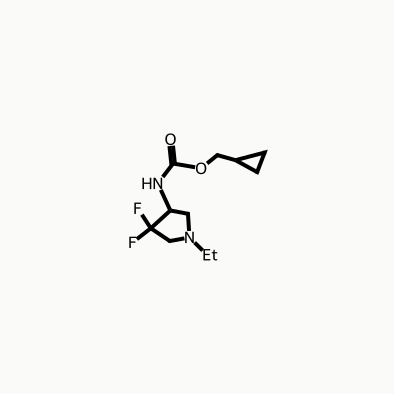 CCN1CC(NC(=O)OCC2CC2)C(F)(F)C1